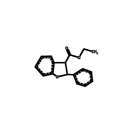 CCOC(=O)C1c2ccccc2OC1c1ccccc1